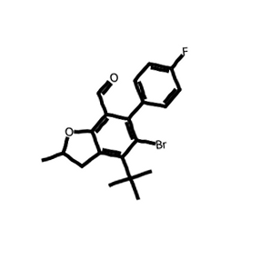 CC1Cc2c(c(C=O)c(-c3ccc(F)cc3)c(Br)c2C(C)(C)C)O1